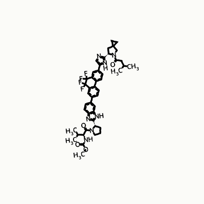 COC(=O)N[C@H](C(=O)N1CCC[C@H]1c1nc2ccc(-c3ccc4c(c3)C(F)(F)C(F)(F)c3cc(-c5cnc([C@@H]6CC7(CC7)CN6C(=O)CC(C)C)[nH]5)ccc3-4)cc2[nH]1)C(C)C